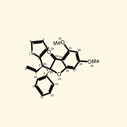 C=C[C@@H](c1cccs1)[C@]1(c2ccccc2)Oc2cc(OC)cc(OC)c2C1=O